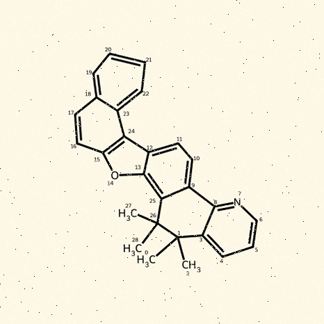 CC1(C)c2cccnc2-c2ccc3c(oc4ccc5ccccc5c43)c2C1(C)C